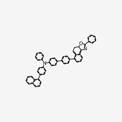 C1=c2c(-c3ccc(-c4ccc(N(c5ccccc5)c5ccc(-c6cccc7ccccc67)cc5)cc4)cc3)cccc2=C2N=C(c3ccccc3)OC2C1